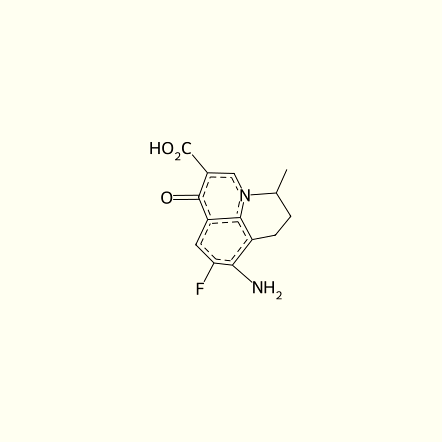 CC1CCc2c(N)c(F)cc3c(=O)c(C(=O)O)cn1c23